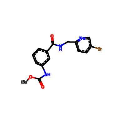 CC(C)(C)OC(=O)Nc1cccc(C(=O)NCc2ccc(Br)cn2)c1